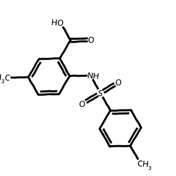 Cc1ccc(S(=O)(=O)Nc2ccc(C)cc2C(=O)O)cc1